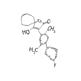 Cc1cc(-c2ccc(F)cc2)c(C)cc1C1=C(O)C2(CCCCC2)OC1=O